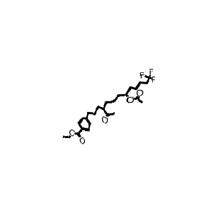 CCOC(=O)c1ccc(CCCC(CCCC(CCCCC(F)(F)F)OC(C)=O)C(C)=O)cc1